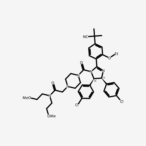 CCOc1cc(C(C)(C)C#N)ccc1C1=N[C@@H](c2ccc(Cl)cc2)[C@@H](c2ccc(Cl)cc2)N1C(=O)N1CCN(CC(=O)N(CCOC)CCOC)CC1